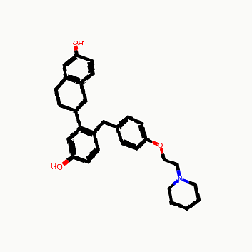 Oc1ccc2c(c1)CCC(c1cc(O)ccc1Cc1ccc(OCCN3CCCCC3)cc1)C2